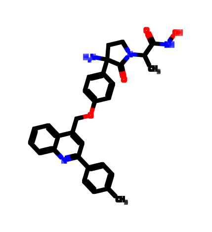 Cc1ccc(-c2cc(COc3ccc(C4(N)CCN(C(C)C(=O)NO)C4=O)cc3)c3ccccc3n2)cc1